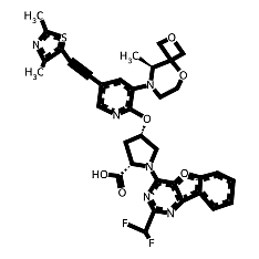 Cc1nc(C)c(C#Cc2cnc(O[C@H]3C[C@@H](C(=O)O)N(c4nc(C(F)F)nc5c4oc4ccccc45)C3)c(N3CCOC4(COC4)[C@@H]3C)c2)s1